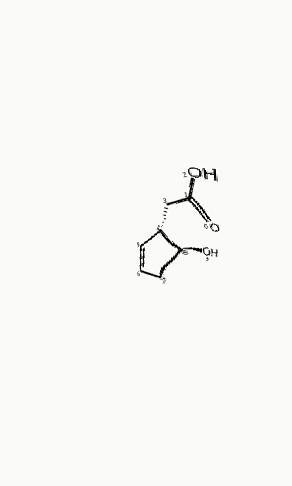 O=C(O)C[C@H]1C=CC[C@@H]1O